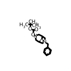 CC(C)(C)OC(=O)ON1CC2CN(Cc3ccccc3)CC(C1)O2